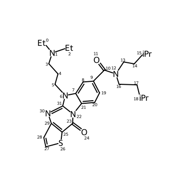 CCN(CC)CCCn1c2cc(C(=O)N(CCC(C)C)CCC(C)C)ccc2n2c(=O)c3sccc3nc12